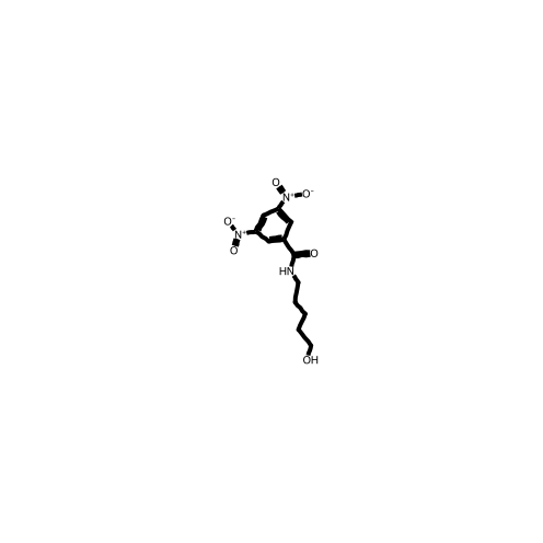 O=C(NCCCCCO)c1cc([N+](=O)[O-])cc([N+](=O)[O-])c1